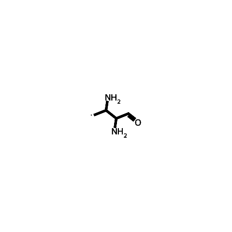 [CH2]C(N)C(N)C=O